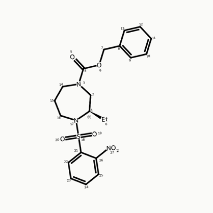 CC[C@@H]1CN(C(=O)OCc2ccccc2)CCCN1S(=O)(=O)c1ccccc1[N+](=O)[O-]